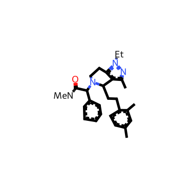 CCn1nc(C)c2c1CCN(C(C(=O)NC)c1ccccc1)C2CCc1ccc(C)cc1C